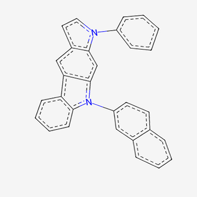 c1ccc(-n2ccc3cc4c5ccccc5n(-c5ccc6ccccc6c5)c4cc32)cc1